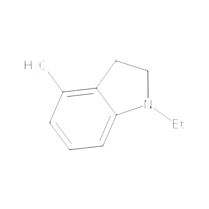 CCN1CCc2c(C)cccc21